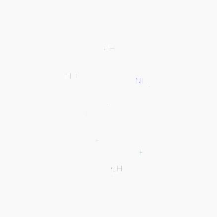 CC(C)C(N)C(F)=CC(C)(F)F